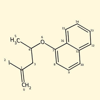 C=C(I)CC(C)Oc1cccc2ccccc12